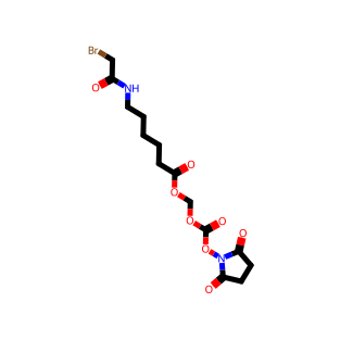 O=C(CBr)NCCCCCC(=O)OCOC(=O)ON1C(=O)CCC1=O